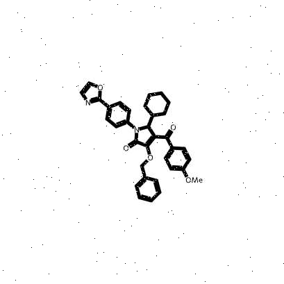 COc1ccc(C(=O)C2=C(OCc3ccccc3)C(=O)N(c3ccc(-c4ncco4)cc3)C2C2CCCCC2)cc1